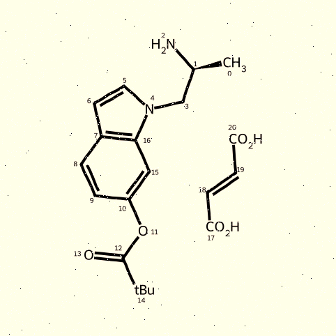 C[C@H](N)Cn1ccc2ccc(OC(=O)C(C)(C)C)cc21.O=C(O)C=CC(=O)O